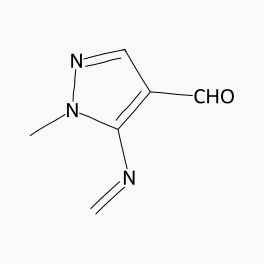 C=Nc1c(C=O)cnn1C